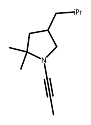 CC#CN1CC(CC(C)C)CC1(C)C